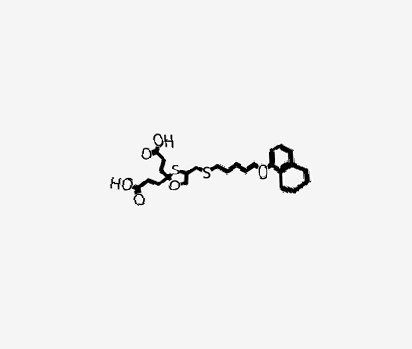 O=C(O)CCC1(CCC(=O)O)OCC(CSCCCCCOc2cccc3c2CCCC3)S1